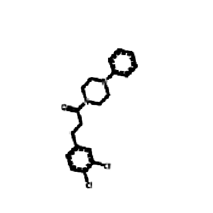 O=C(C[CH]c1ccc(Cl)c(Cl)c1)N1CCN(c2ccccc2)CC1